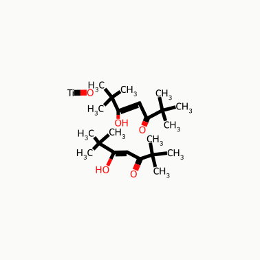 CC(C)(C)C(=O)C=C(O)C(C)(C)C.CC(C)(C)C(=O)C=C(O)C(C)(C)C.[O]=[Ti]